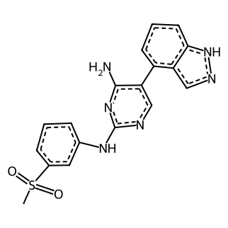 CS(=O)(=O)c1cccc(Nc2ncc(-c3cccc4[nH]ncc34)c(N)n2)c1